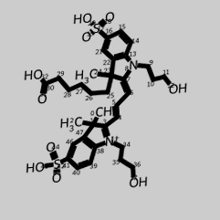 CC1(C)C(/C=C/C=C2/N(CCCO)c3ccc(S(=O)(=O)O)cc3C2(C)CCCCCC(=O)O)=[N+](CCCO)c2ccc(S(=O)(=O)O)cc21